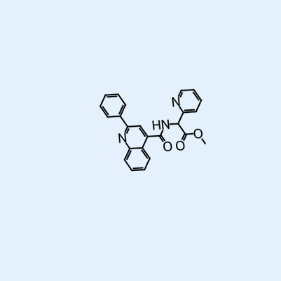 COC(=O)C(NC(=O)c1cc(-c2ccccc2)nc2ccccc12)c1ccccn1